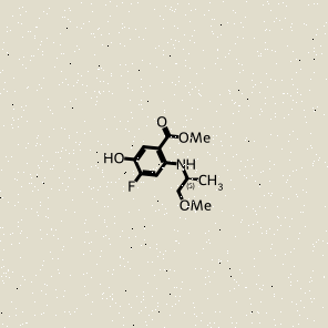 COC[C@H](C)Nc1cc(F)c(O)cc1C(=O)OC